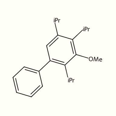 COc1c(C(C)C)c(-c2ccccc2)cc(C(C)C)c1C(C)C